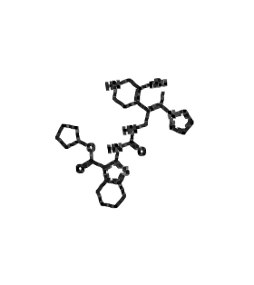 CCCCC1=C(/C(CNC(=O)Nc2sc3c(c2C(=O)OC2CCCC2)CCCC3)=C(\C)n2cccc2)CCNC1